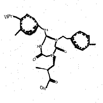 CCCc1ccc(NC2NC(=O)N(C[C@H](C)C(=O)N=O)C(=O)N2Cc2ccc(C)cc2)cc1C